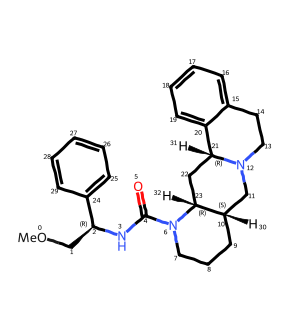 COC[C@H](NC(=O)N1CCC[C@H]2CN3CCc4ccccc4[C@H]3C[C@H]21)c1ccccc1